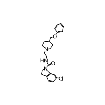 O=C(NCCN1CCC(COc2ccccc2)CC1)N1CCc2ccc(Cl)cc21